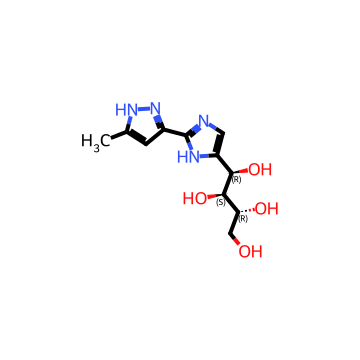 Cc1cc(-c2ncc([C@@H](O)[C@H](O)[C@H](O)CO)[nH]2)n[nH]1